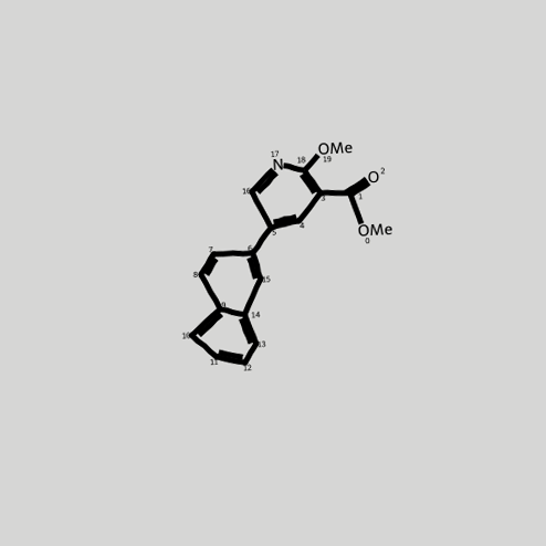 COC(=O)c1cc(-c2ccc3ccccc3c2)cnc1OC